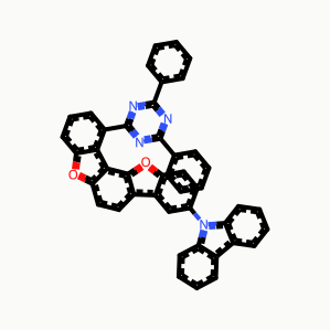 c1ccc(-c2nc(-c3ccccc3)nc(-c3cccc4oc5ccc6c7cc(-n8c9ccccc9c9ccccc98)ccc7oc6c5c34)n2)cc1